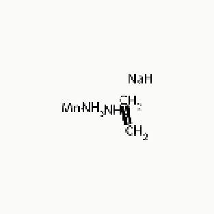 C=C.N.N.[Mn].[NaH]